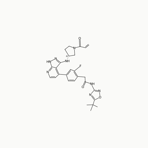 C=CC(=O)N1CC[C@@H](Nc2n[nH]c3nccc(-c4ccc(CC(=O)Nc5noc(C(C)(C)C)n5)c(F)c4)c23)C1